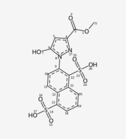 COC(=O)c1cc(O)n(-c2ccc3c(S(=O)(=O)O)cccc3c2S(=O)(=O)O)n1